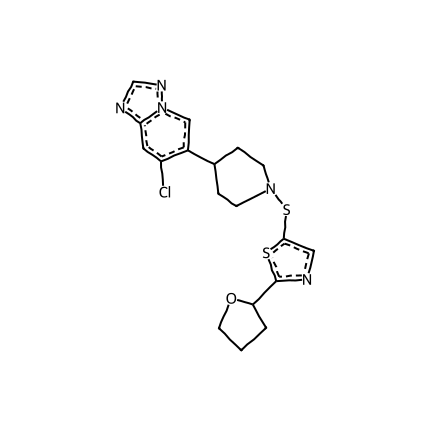 Clc1cc2ncnn2cc1C1CCN(Sc2cnc(C3CCCO3)s2)CC1